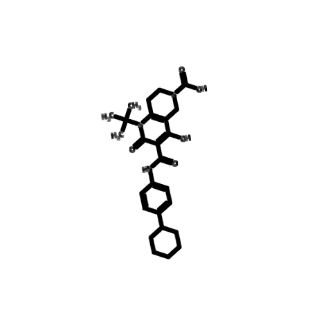 CC(C)(C)n1c2c(c(O)c(C(=O)Nc3ccc(C4CCCCC4)cc3)c1=O)CN(C(=O)O)CC2